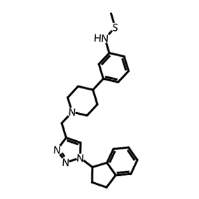 CSNc1cccc(C2CCN(Cc3cn(C4CCc5ccccc54)nn3)CC2)c1